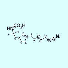 CC(C)(C[C@H]1CCN(CCOCCN=[N+]=[N-])C1)NC(=O)O